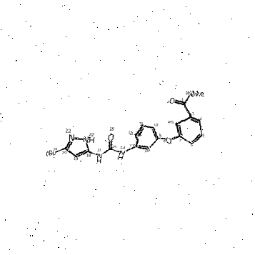 CNC(=O)c1cccc(Oc2cccc(NC(=O)Nc3cc(C(C)(C)C)n[nH]3)c2)c1